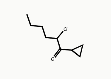 CCCCC(Cl)C(=O)C1CC1